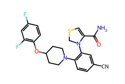 N#Cc1ccc(N2CCC(Oc3ccc(F)cc3F)CC2)c(N2CSC=C2C(N)=O)c1